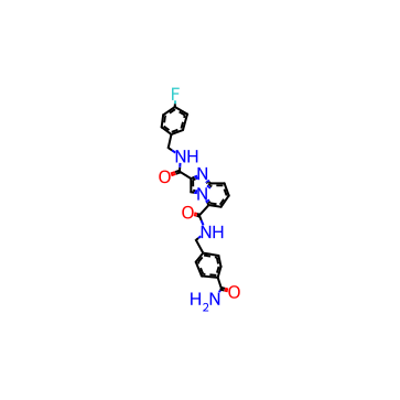 NC(=O)c1ccc(CNC(=O)c2cccc3nc(C(=O)NCc4ccc(F)cc4)cn23)cc1